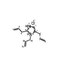 C=CCc1c[nH]c(CC=C)[n+]1CC=C.[Cl-]